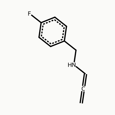 C=C=CNCc1ccc(F)cc1